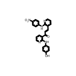 O=C(/C=C/c1cccnc1Nc1ccc([N+](=O)[O-])cc1)c1cccnc1Nc1ccc(O)cc1